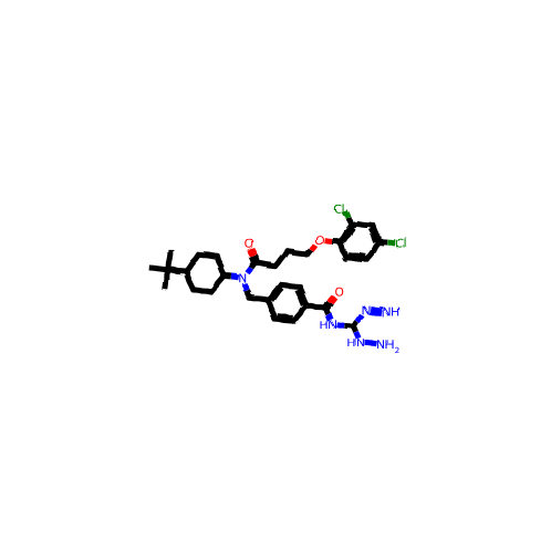 CC(C)(C)C1CCC(N(Cc2ccc(C(=O)NC(N=N)NN)cc2)C(=O)CCCOc2ccc(Cl)cc2Cl)CC1